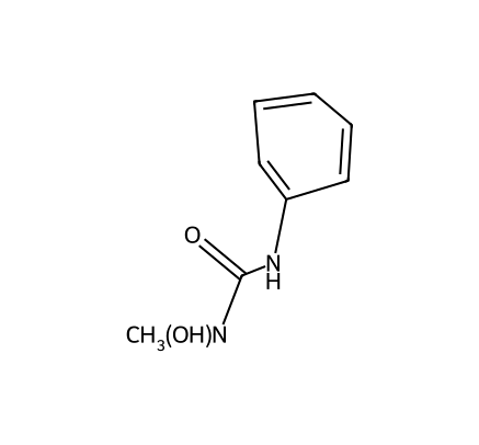 CN(O)C(=O)Nc1ccccc1